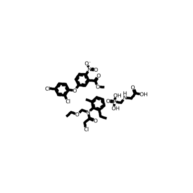 CCOCN(C(=O)CCl)c1c(C)cccc1CC.COC(=O)c1cc(Oc2ccc(Cl)cc2Cl)ccc1[N+](=O)[O-].O=C(O)CNCP(=O)(O)O